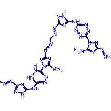 C/N=N/c1n[nH]c(NC2=NN=C(n3nc(/N=N/C/N=N/c4n[nH]c(Nc5nnc(-n6nc(N=N)nc6N)nn5)n4)nc3N)NN2)n1